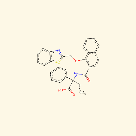 CCC(NC(=O)c1ccc2ccccc2c1OCc1nc2ccccc2s1)(C(=O)O)c1ccccc1